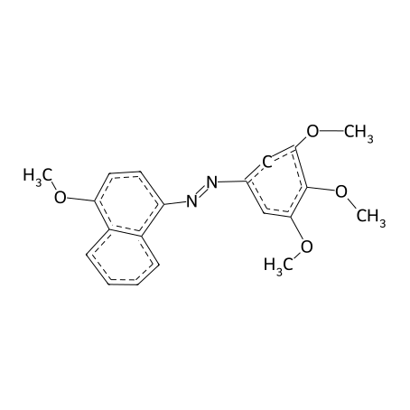 COc1cc(N=Nc2ccc(OC)c3ccccc23)cc(OC)c1OC